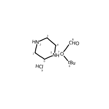 C1CNCCN1.CC(C)(C)OC=O.Cl